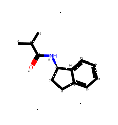 CC(C)C(=O)N[C@@H]1CCc2ccccc21